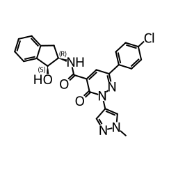 Cn1cc(-n2nc(-c3ccc(Cl)cc3)cc(C(=O)N[C@@H]3Cc4ccccc4[C@@H]3O)c2=O)cn1